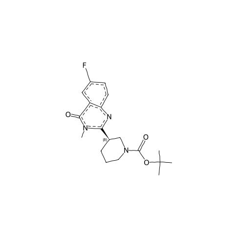 Cn1c([C@@H]2CCCN(C(=O)OC(C)(C)C)C2)nc2ccc(F)cc2c1=O